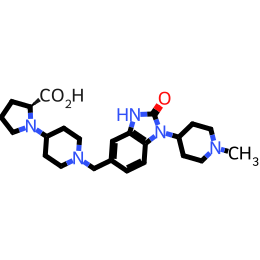 CN1CCC(n2c(=O)[nH]c3cc(CN4CCC(N5CCC[C@H]5C(=O)O)CC4)ccc32)CC1